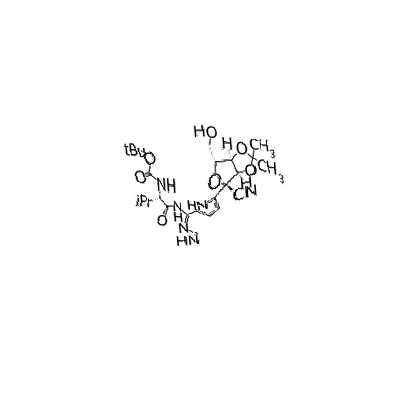 CC(C)[C@H](NC(=O)OC(C)(C)C)C(=O)N/C(=N/C=N)c1ccc([C@]2(C#N)O[C@H](CO)[C@H]3OC(C)(C)O[C@H]32)[nH]1